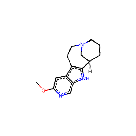 COc1cc2c3c([nH]c2cn1)[C@@H]1CCC[N@](CC3)C1